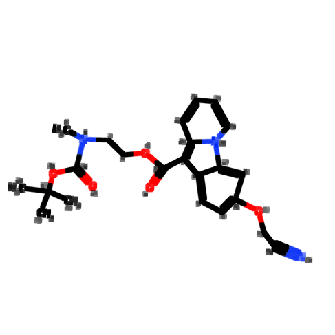 CN(CCOC(=O)c1c2ccc(OCC#N)cc2n2ccccc12)C(=O)OC(C)(C)C